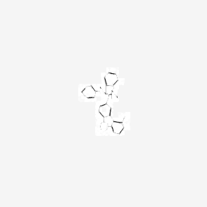 Cc1cccc2oc3ccc(-c4nc5ccccc5n4-c4ccccc4)cc3c12